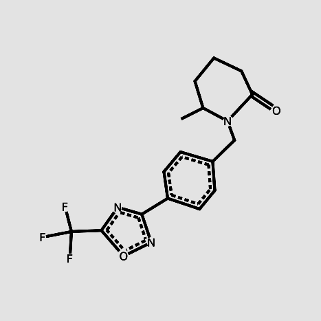 CC1CCCC(=O)N1Cc1ccc(-c2noc(C(F)(F)F)n2)cc1